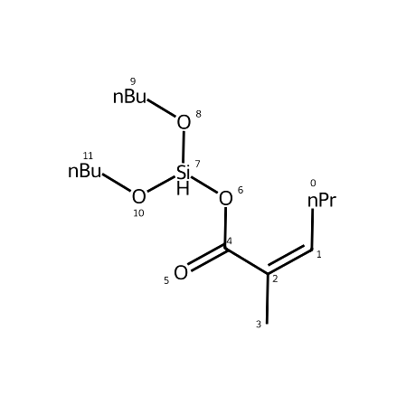 CCCC=C(C)C(=O)O[SiH](OCCCC)OCCCC